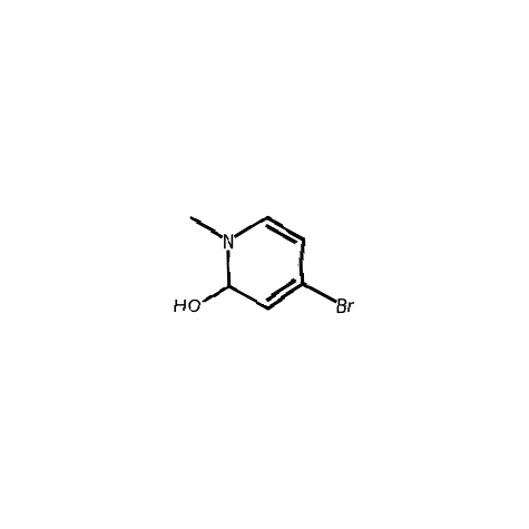 CN1C=CC(Br)=CC1O